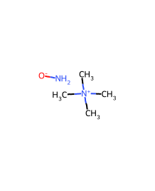 C[N+](C)(C)C.N[O-]